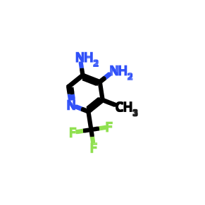 Cc1c(C(F)(F)F)ncc(N)c1N